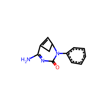 NC1=NC(=O)N(c2ccccc2)C2C=C1C2